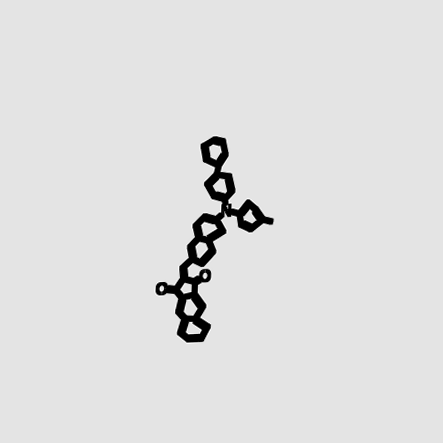 Cc1ccc(N(c2ccc(-c3ccccc3)cc2)c2ccc3cc(C=C4C(=O)c5cc6ccccc6cc5C4=O)ccc3c2)cc1